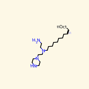 CCCCCCCC/C=C\CCCCCCCCN(CCN)CCN1CCNCC1